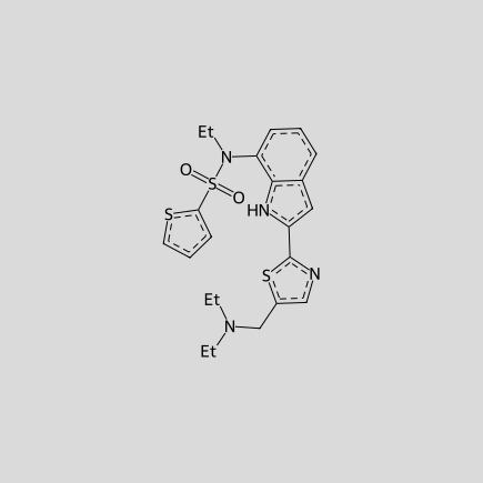 CCN(CC)Cc1cnc(-c2cc3cccc(N(CC)S(=O)(=O)c4cccs4)c3[nH]2)s1